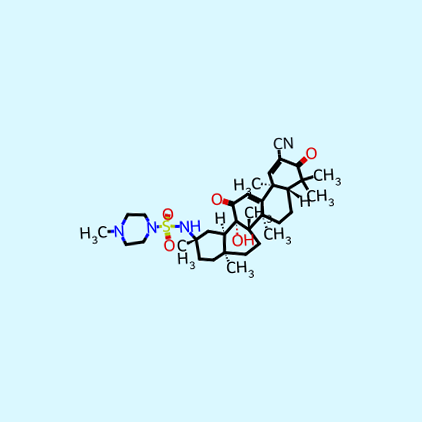 CN1CCN(S(=O)(=O)N[C@@]2(C)CC[C@]3(C)CC[C@@]4(C)[C@]5(C)CC[C@H]6C(C)(C)C(=O)C(C#N)=C[C@]6(C)C5=CC(=O)[C@]4(O)[C@@H]3C2)CC1